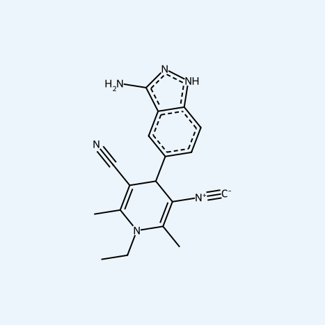 [C-]#[N+]C1=C(C)N(CC)C(C)=C(C#N)C1c1ccc2[nH]nc(N)c2c1